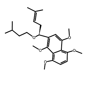 COc1ccc(OC)c2c(OC)c([C@H](CC=C(C)C)OCCC(C)C)cc(OC)c12